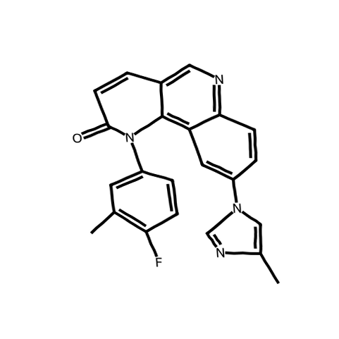 Cc1cn(-c2ccc3ncc4ccc(=O)n(-c5ccc(F)c(C)c5)c4c3c2)cn1